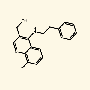 OCc1cnc2c(F)cccc2c1NCCc1ccccc1